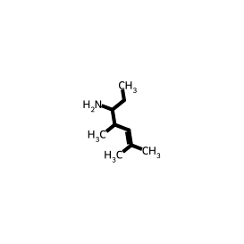 CCC(N)C(C)C=C(C)C